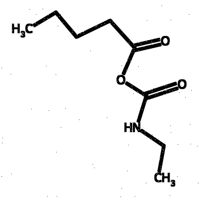 CCCCC(=O)OC(=O)NCC